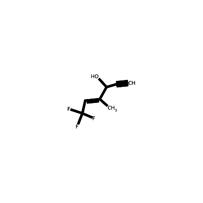 C#CC(O)/C(C)=C/C(F)(F)F